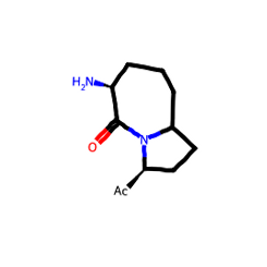 CC(=O)[C@@H]1CCC2CCC[C@H](N)C(=O)N21